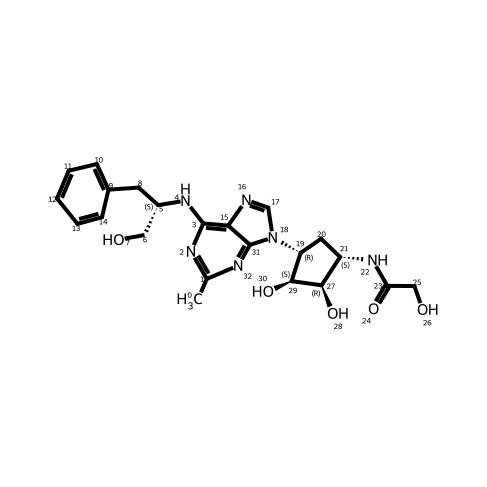 Cc1nc(N[C@H](CO)Cc2ccccc2)c2ncn([C@@H]3C[C@H](NC(=O)CO)[C@@H](O)[C@H]3O)c2n1